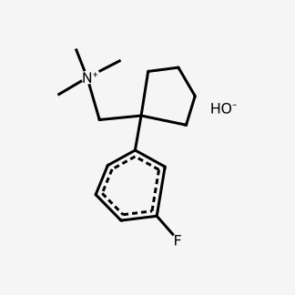 C[N+](C)(C)CC1(c2cccc(F)c2)CCCC1.[OH-]